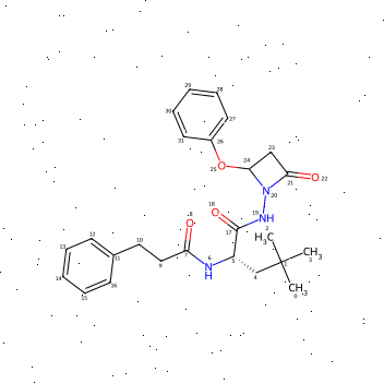 CC(C)(C)C[C@H](NC(=O)CCc1ccccc1)C(=O)NN1C(=O)CC1Oc1ccccc1